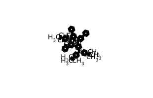 Cc1cc(C(C)(C)C)ccc1N1c2cc(-c3ccccc3)ccc2Bc2c(-c3cc(N(c4ccc(C(C)(C)C)cc4)c4ccc(C(C)(C)C)cc4)ccc3Nc3ccc(-c4ccccc4)cc3)cc3c(oc4ccccc43)c21